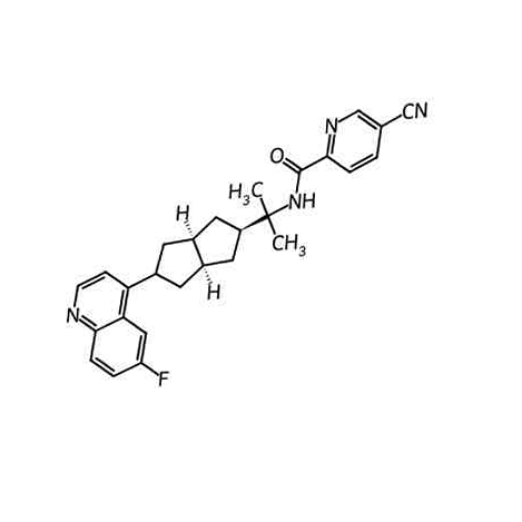 CC(C)(NC(=O)c1ccc(C#N)cn1)[C@H]1C[C@H]2CC(c3ccnc4ccc(F)cc34)C[C@H]2C1